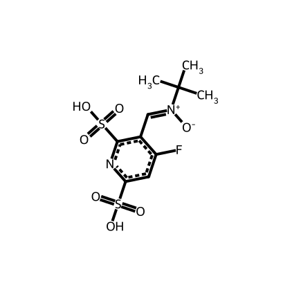 CC(C)(C)[N+]([O-])=Cc1c(F)cc(S(=O)(=O)O)nc1S(=O)(=O)O